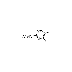 CNc1ncc(C)c(C)n1